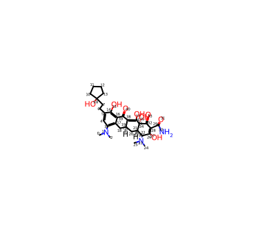 CN(C)c1cc(CCC2(O)CCCC2)c(O)c2c1C[C@@H]1C[C@@H]3[C@@H](N(C)C)C(O)=C(C(N)=O)C(=O)[C@]3(O)C(O)=C1C2=O